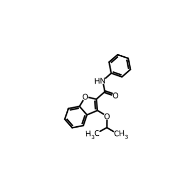 CC(C)Oc1c(C(=O)Nc2ccccc2)oc2ccccc12